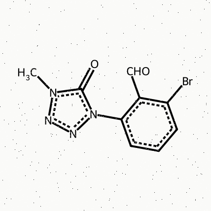 Cn1nnn(-c2cccc(Br)c2C=O)c1=O